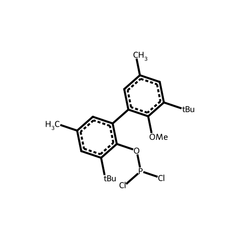 COc1c(-c2cc(C)cc(C(C)(C)C)c2OP(Cl)Cl)cc(C)cc1C(C)(C)C